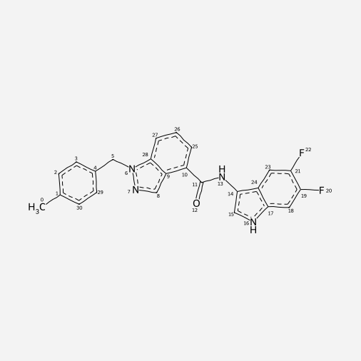 Cc1ccc(Cn2ncc3c(C(=O)Nc4c[nH]c5cc(F)c(F)cc45)cccc32)cc1